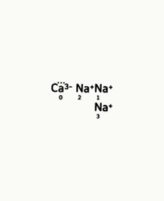 [Ca-3].[Na+].[Na+].[Na+]